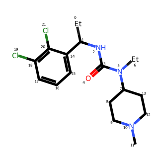 CCC(NC(=O)N(CC)C1CCN(C)CC1)c1cccc(Cl)c1Cl